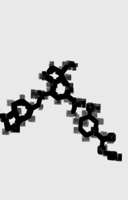 CC(C)c1cnn2c(NCc3ccc4c(c3)ncn4C)cc(NC[C@H]3CCN(C(=O)OC(C)(C)C)C[C@@H]3O)nc12